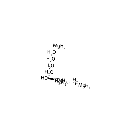 O.O.O.O.O.O.O.O=S(=O)(O)O.[MgH2].[MgH2]